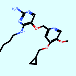 CCCCNc1nc(N)ncc1OCc1cc(OCC2CC2)c(OC)cn1